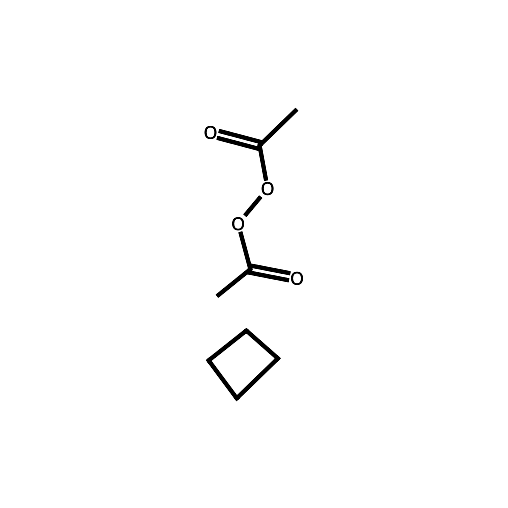 C1CCC1.CC(=O)OOC(C)=O